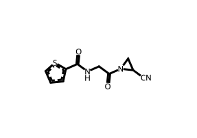 N#CC1CN1C(=O)CNC(=O)c1cccs1